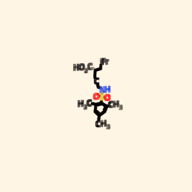 Cc1cc(C)c(S(=O)(=O)NCCC[C@@H](CC(C)C)C(=O)O)c(C)c1